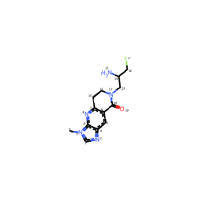 Cn1cnc2cc3c(nc21)CCN(CC(N)CF)C3=O